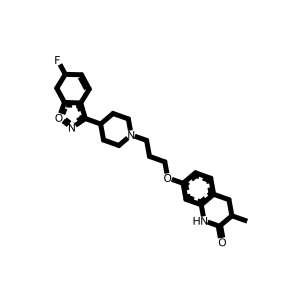 CC1Cc2ccc(OCCCN3CCC(c4noc5c4C=CC(F)C5)CC3)cc2NC1=O